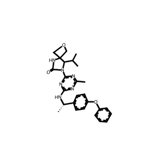 Cc1nc(N[C@@H](C)c2ccc(Oc3ccccc3)cc2)nc(N2C(=O)NC3(COC3)C2C(C)C)n1